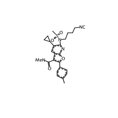 [C-]#[N+]CCCCN(c1nc2oc(-c3ccc(C)cc3)c(C(=O)NC)c2cc1C1CC1)S(C)(=O)=O